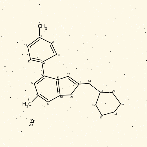 Cc1ccc(-c2cc(C)cc3c2C=C(CC2CCCCC2)[CH]3)cc1.[Zr]